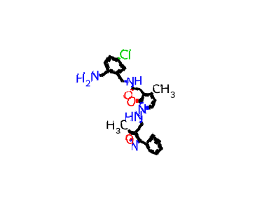 Cc1ccn(NCc2c(-c3ccccc3)noc2C)c(=O)c1CC(=O)NCc1cc(Cl)ccc1CN